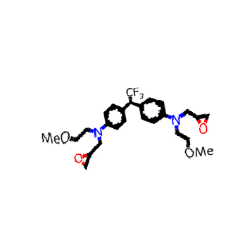 COCCN(CC1CO1)c1ccc(C(c2ccc(N(CCOC)CC3CO3)cc2)C(F)(F)F)cc1